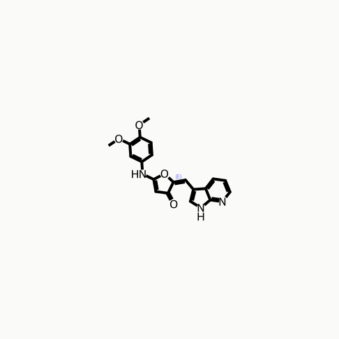 COc1ccc(NC2=CC(=O)/C(=C\c3c[nH]c4ncccc34)O2)cc1OC